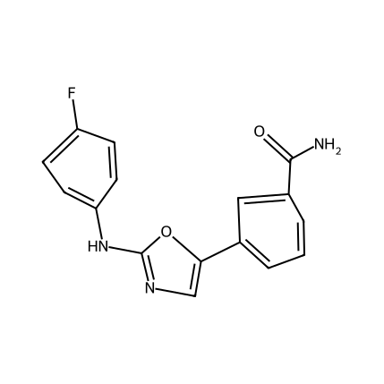 NC(=O)c1cccc(-c2cnc(Nc3ccc(F)cc3)o2)c1